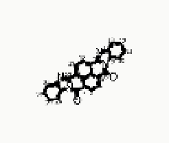 O=c1c2ccc3c(=O)n4c5ccccc5nc4c4ccc(c2c34)c2nc3c(n12)=CCCC=3